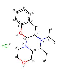 CCCN(C(C)C)C1Cc2ccccc2O[C@H]1N1CCOCC1.Cl